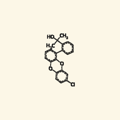 CC(C)(O)c1ccccc1-c1cccc2c1Oc1cc(Cl)ccc1O2